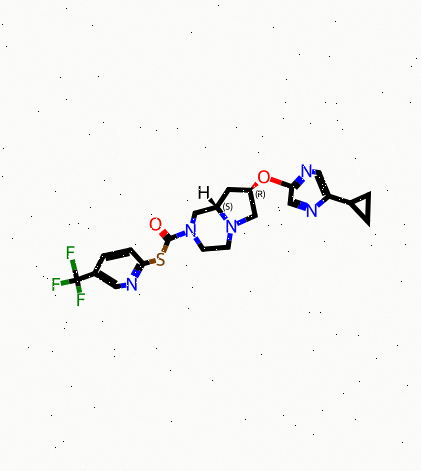 O=C(Sc1ccc(C(F)(F)F)cn1)N1CCN2C[C@H](Oc3cnc(C4CC4)cn3)C[C@H]2C1